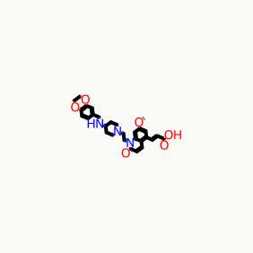 COc1cc(C=CC(=O)O)c2ccc(=O)n(CCN3CCC(NCc4ccc5c(c4)OCCO5)CC3)c2c1